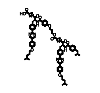 CC(C)CCCOc1ccc(-c2cnc(-c3ccc(C[C@H](NC(=O)c4ccc(OCCCOC(=O)C5CN(C(=O)[C@H](Cc6ccc(-c7ncc(-c8ccc(OCCCC(C)C)cc8)cn7)cc6)NC(=O)c6ccc(CC(C)C)cc6)C5)cc4)C(=O)N4CC(C(=O)O)C4)cc3)nc2)cc1